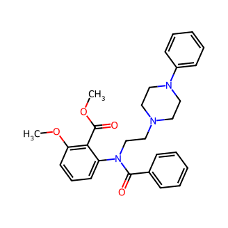 COC(=O)c1c(OC)cccc1N(CCN1CCN(c2ccccc2)CC1)C(=O)c1ccccc1